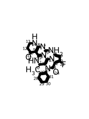 C[C@H](Nc1nc(N)nc2c1C(=O)CCN2)c1cn2ccc(F)c2c(=O)n1-c1ccccc1